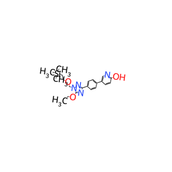 CCOc1nc(-c2ccc(-c3ccc(O)nc3)cc2)nn1COCC[Si](C)(C)C